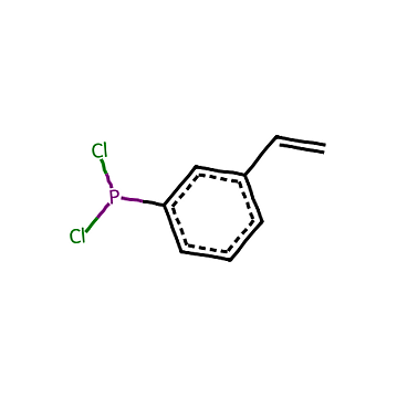 C=Cc1cccc(P(Cl)Cl)c1